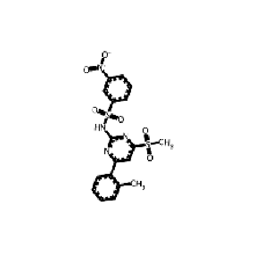 Cc1ccccc1-c1cc(S(C)(=O)=O)nc(NS(=O)(=O)c2cccc([N+](=O)[O-])c2)n1